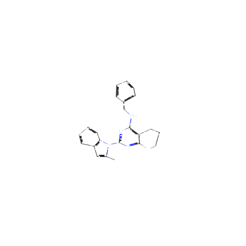 Cc1cc2[c]cccc2n1-c1nc(NCc2ccccc2)c2c(n1)OCCC2